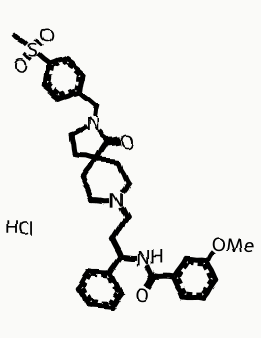 COc1cccc(C(=O)NC(CCN2CCC3(CC2)CCN(Cc2ccc(S(C)(=O)=O)cc2)C3=O)c2ccccc2)c1.Cl